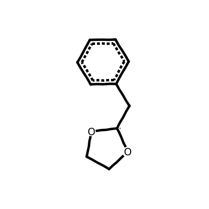 c1ccc(C[C]2OCCO2)cc1